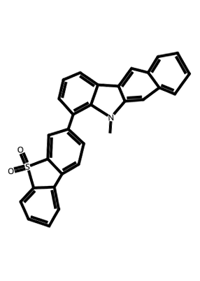 Cn1c2cc3ccccc3cc2c2cccc(-c3ccc4c(c3)S(=O)(=O)c3ccccc3-4)c21